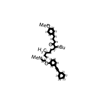 CCCCC(CCCC(C)CC[C@@H](CNC)Oc1cccc(C#Cc2ccccc2)c1)C(=O)CCCc1ccc(OC)cc1